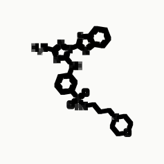 Nc1nc(Nc2cccc(S(=O)(=O)NCCCN3CCOCC3)c2)n(-c2nc3ccccc3s2)n1